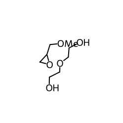 COCC1CO1.OCCOCCO